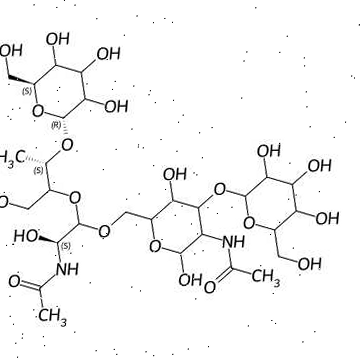 CC(=O)NC1C(O)OC(COC(OC(CO)[C@H](C)O[C@@H]2O[C@@H](CO)C(O)C(O)C2O)[C@H](O)NC(C)=O)C(O)C1OC1OC(CO)C(O)C(O)C1O